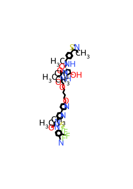 Cc1ncsc1-c1ccc([C@H](C)NC(=O)[C@@H]2C[C@@H](O)CN2C(=O)[C@@H](NC(=O)COCCCCOc2ccc(-c3ccc(N4C(=S)N(c5ccc(C#N)c(C(F)(F)F)c5F)C(=O)C4(C)C)cn3)cn2)C(C)(C)C)cc1